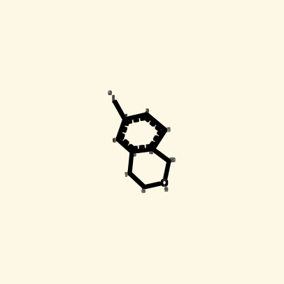 Ic1ccc2c(c1)CCOC2